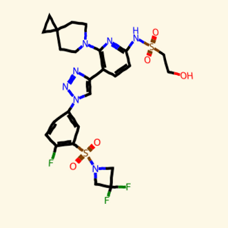 O=S(=O)(CCO)Nc1ccc(-c2cn(-c3ccc(F)c(S(=O)(=O)N4CC(F)(F)C4)c3)nn2)c(N2CCC3(CC2)CC3)n1